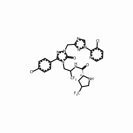 O=C(NC(Cn1c(-c2ccc(Cl)cc2)nn(Cc2ncn(-c3ncccc3Cl)n2)c1=O)C(F)(F)F)[C@H]1CC(C(F)(F)F)CN1